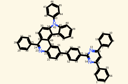 c1ccc(-c2cc(-c3ccccc3)nc(-c3ccc(-c4ccc5nc(-c6ccccc6)c6ccc7c(c8ccccc8n7-c7ccccc7)c6c5c4)cc3)n2)cc1